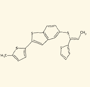 C/C=C(\Sc1ccc2sc(-c3ccc(C)s3)cc2c1)c1cccs1